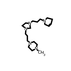 CN1CCN(CCCN2CCN(CCCN3CC=CCC3)C2)CC1